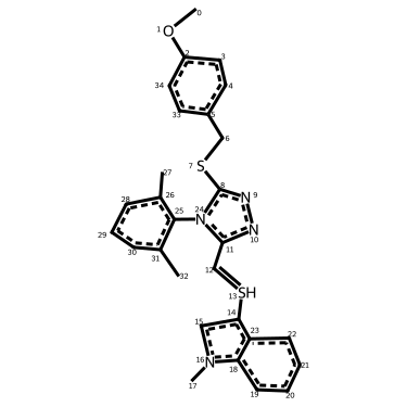 COc1ccc(CSc2nnc(C=[SH]c3cn(C)c4ccccc34)n2-c2c(C)cccc2C)cc1